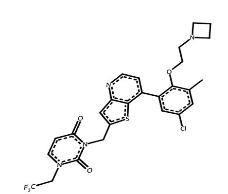 Cc1cc(Cl)cc(-c2ccnc3cc(Cn4c(=O)ccn(CC(F)(F)F)c4=O)sc23)c1OCCN1CCC1